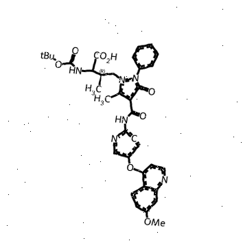 COc1ccc2c(Oc3ccc(NC(=O)c4c(C)n(C[C@@H](C)C(NC(=O)OC(C)(C)C)C(=O)O)n(-c5ccccc5)c4=O)nc3)ccnc2c1